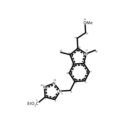 CCOC(=O)c1cn(Cc2ccc3c(c2)c(C)c(CCOC)n3C)nn1